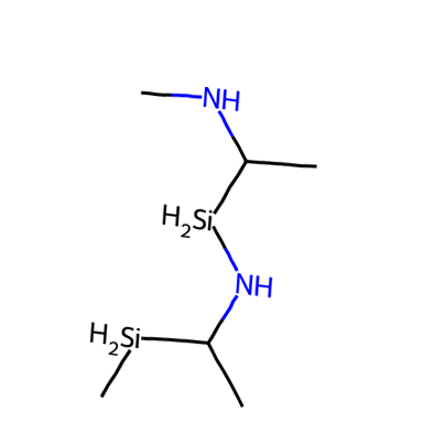 CNC(C)[SiH2]NC(C)[SiH2]C